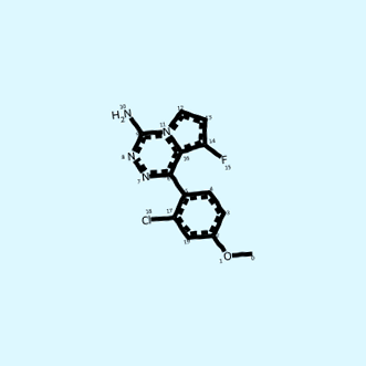 COc1ccc(-c2nnc(N)n3ccc(F)c23)c(Cl)c1